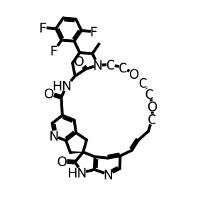 CC1C(c2c(F)ccc(F)c2F)CC2NC(=O)c3cnc4c(c3)C[C@@]3(C4)C(=O)Nc4ncc(cc43)/C=C/CCOCCOCCN1C2=O